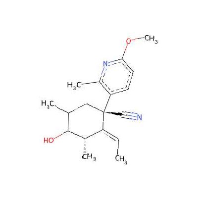 C/C=C1\[C@H](C)C(O)C(C)C[C@]1(C#N)c1ccc(OC)nc1C